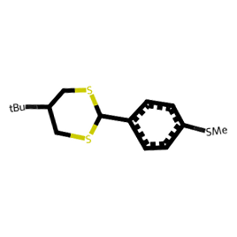 CSc1ccc(C2SCC(C(C)(C)C)CS2)cc1